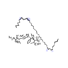 CCCCC/C=C\C/C=C\CCCCCCCCC(CCCCCCC/C=C\C/C=C\CCCCC)OC(=O)C(NC(=O)C(N)CCCNC(=N)N)C(C)O